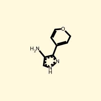 Nc1c[nH]nc1C1=CCOC=C1